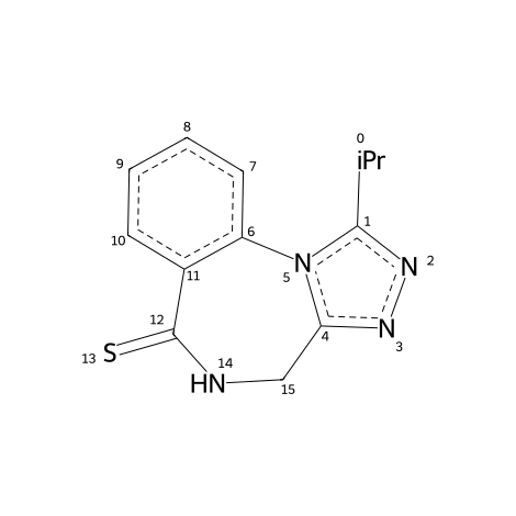 CC(C)c1nnc2n1-c1ccccc1C(=S)NC2